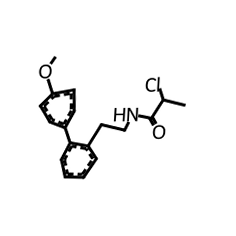 COc1ccc(-c2ccccc2CCNC(=O)C(C)Cl)cc1